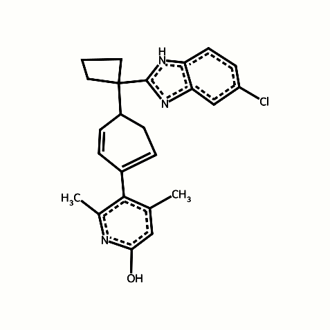 Cc1cc(O)nc(C)c1C1=CCC(C2(c3nc4cc(Cl)ccc4[nH]3)CCC2)C=C1